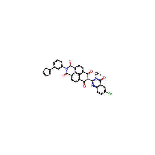 Cn1c(C2C(=O)c3ccc4c5c(ccc(c35)C2=O)C(=O)N(c2cccc(C3=CC=CC3)c2)C4=O)nc2ccc(Br)cc2c1=O